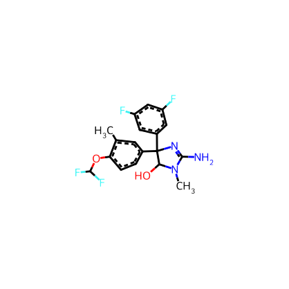 Cc1cc(C2(c3cc(F)cc(F)c3)N=C(N)N(C)C2O)ccc1OC(F)F